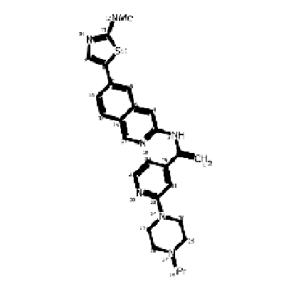 C=C(Nc1cc2cc(-c3cnc(NC)s3)ccc2cn1)c1ccnc(N2CCN(C(C)C)CC2)c1